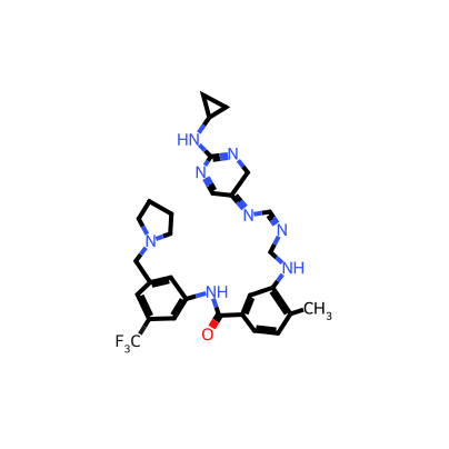 Cc1ccc(C(=O)Nc2cc(CN3CCCC3)cc(C(F)(F)F)c2)cc1NC/N=C\N=C1\C=NC(NC2CC2)=NC1